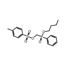 CCCCOP(=O)(COS(=O)(=O)c1ccc(C)cc1)c1ccccc1